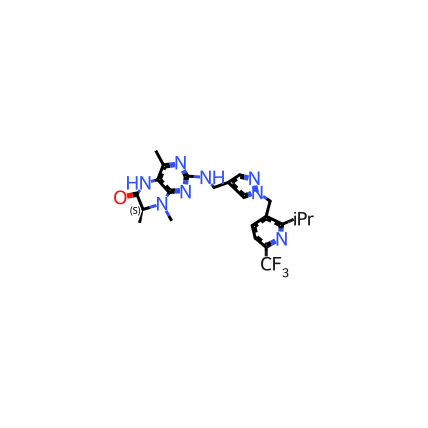 Cc1nc(NCc2cnn(Cc3ccc(C(F)(F)F)nc3C(C)C)c2)nc2c1NC(=O)[C@H](C)N2C